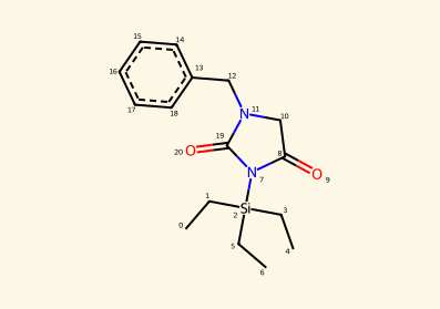 CC[Si](CC)(CC)N1C(=O)CN(Cc2ccccc2)C1=O